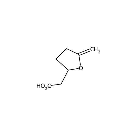 C=C1CCC(CC(=O)O)O1